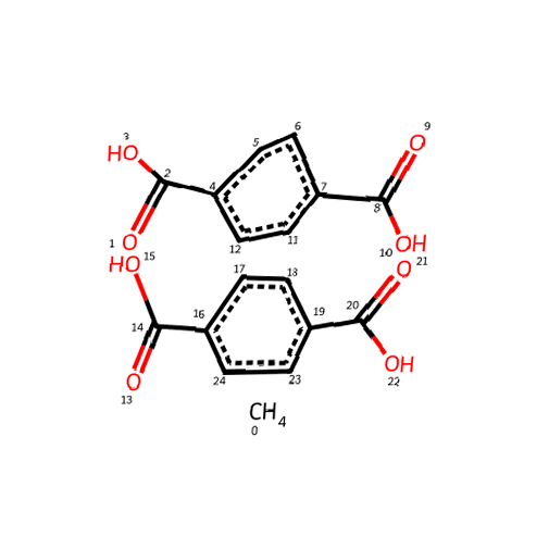 C.O=C(O)c1ccc(C(=O)O)cc1.O=C(O)c1ccc(C(=O)O)cc1